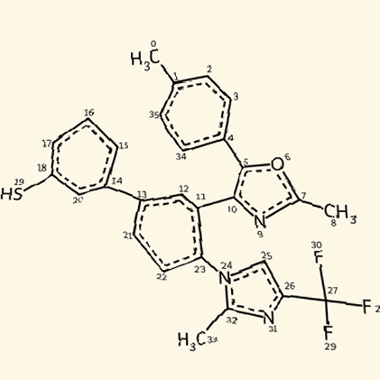 Cc1ccc(-c2oc(C)nc2-c2cc(-c3cccc(S)c3)ccc2-n2cc(C(F)(F)F)nc2C)cc1